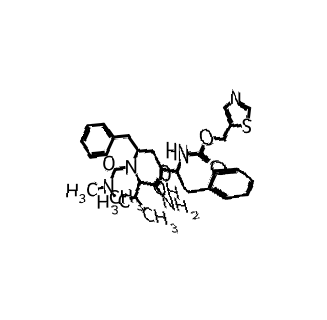 CC(C)C(C(N)=O)N(C(=O)N(C)C)C(Cc1ccccc1)CC(O)C(Cc1ccccc1)NC(=O)OCc1cncs1